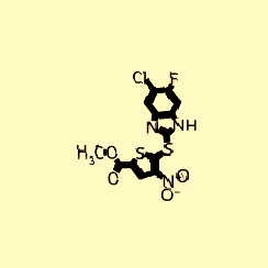 COC(=O)c1cc([N+](=O)[O-])c(Sc2nc3cc(Cl)c(F)cc3[nH]2)s1